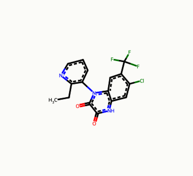 CCc1ncccc1-n1c(=O)c(=O)[nH]c2cc(Cl)c(C(F)(F)F)cc21